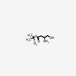 CC(C)(C)OC(=O)C[C@H](N)CO